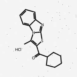 Cc1c(C(=O)C2CCCCC2)sc2nc3ccccc3n12.Cl